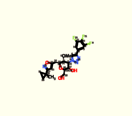 CO[C@@H]1[C@@H](n2cc(-c3cc(F)c(F)c(F)c3)nn2)[C@@H](O)[C@@H](CO)O[C@@H]1Cc1cc(C2(C)CC2)no1